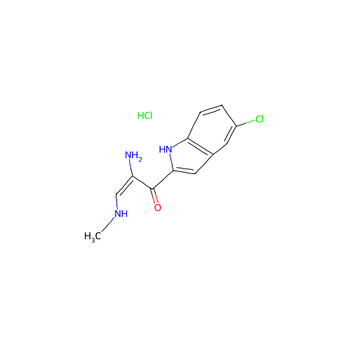 CN/C=C(/N)C(=O)c1cc2cc(Cl)ccc2[nH]1.Cl